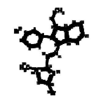 CCn1c(-c2ccccc2)c(/N=N/c2sc(Br)c[n+]2C)c2ccccc21.[Br-]